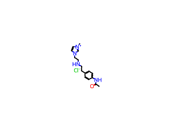 CC(=O)Nc1ccc(CCNCCn2cc[n+](C)c2)cc1.[Cl-]